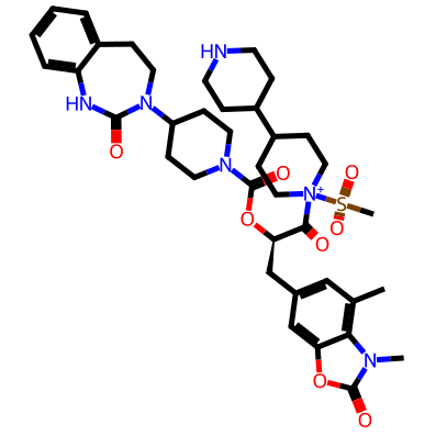 Cc1cc(C[C@@H](OC(=O)N2CCC(N3CCc4ccccc4NC3=O)CC2)C(=O)[N+]2(S(C)(=O)=O)CCC(C3CCNCC3)CC2)cc2oc(=O)n(C)c12